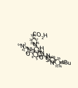 CN1CC(NC(=O)c2cccc([C@@H](CCN3CCC(CC(=O)O)CC3)NC(=O)c3nc4cc5c(nc4s3)CC[C@H](C(C)(C)C)C5)c2)C1